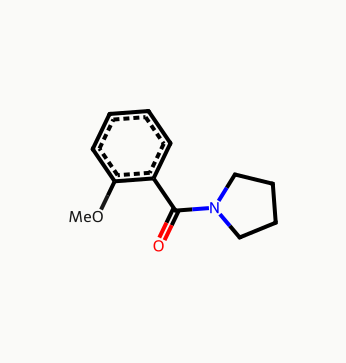 [CH2]Oc1ccccc1C(=O)N1CCCC1